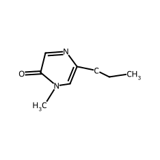 CCCc1cn(C)c(=O)cn1